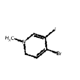 CN1C=C(I)C(Br)=CC1